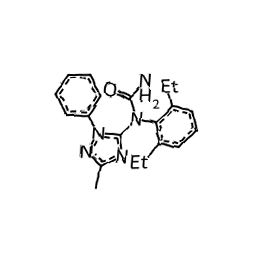 CCc1cccc(CC)c1N(C(N)=O)c1nc(C)nn1-c1ccccc1